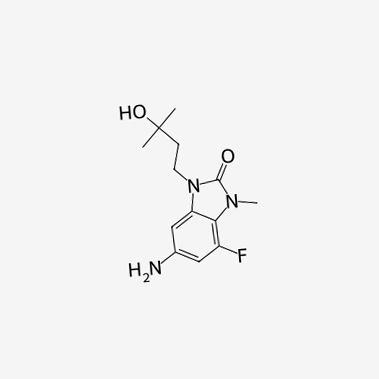 Cn1c(=O)n(CCC(C)(C)O)c2cc(N)cc(F)c21